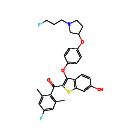 Cc1cc(F)cc(C)c1C(=O)c1sc2cc(O)ccc2c1Oc1ccc(OC2CCN(CCCF)C2)cc1